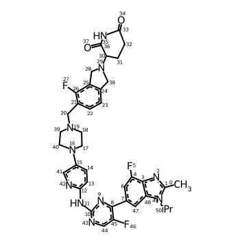 Cc1nc2c(F)cc(-c3nc(Nc4ccc(N5CCN(Cc6ccc7c(c6F)CN(C6CCC(=O)NC6=O)C7)CC5)cn4)ncc3F)cc2n1C(C)C